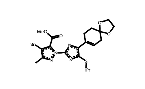 COC(=O)c1c(Br)c(C)nn1-c1nc(C2=CCC3(CC2)OCCO3)c(SC(C)C)s1